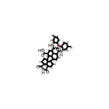 Cc1ccc(C)c(NC(=N)c2cc(C(=O)O)c3c4ccc5c6c(ccc(c7ccc(C(=O)Nc8cc(C)ccc8C)c2c73)c64)C(=O)NC5=O)c1